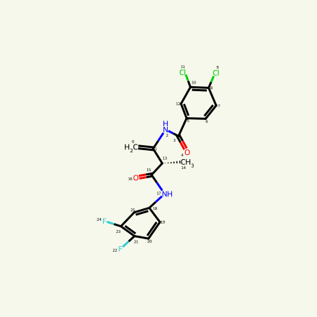 C=C(NC(=O)c1ccc(Cl)c(Cl)c1)[C@H](C)C(=O)Nc1ccc(F)c(F)c1